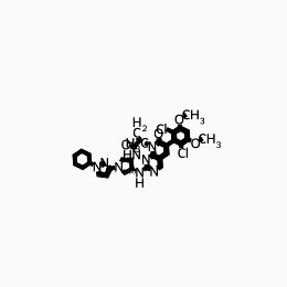 C=CC(=O)N[C@@H]1CN(c2ccn(C3CCCCC3)n2)C[C@@H]1Nc1ncc2cc(-c3c(Cl)c(OC)cc(OC)c3Cl)c(=O)n(C)c2n1